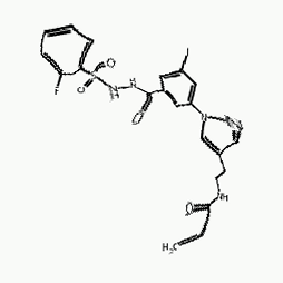 C=CC(=O)NCCc1cnn(-c2cc(I)cc(C(=O)NNS(=O)(=O)c3ccccc3F)c2)c1